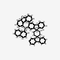 c1ccc2c(c1)-c1ccccc1C21CCC2(CC1)c1ccccc1-c1ccc(N(c3cccc4ccccc34)c3cccc4oc5ccccc5c34)cc12